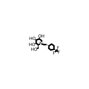 OC[C@H]1[C@@H](O)[C@H](O)[C@@H](O)CN1CC[C@H]1CC[C@H](C(F)(F)F)CC1